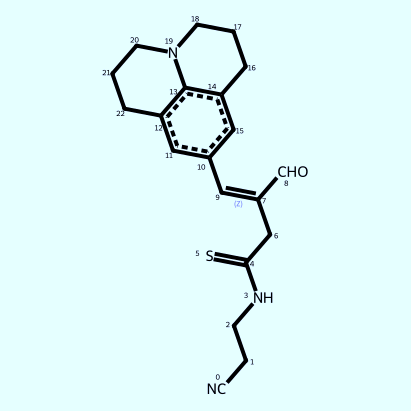 N#CCCNC(=S)C/C(C=O)=C/c1cc2c3c(c1)CCCN3CCC2